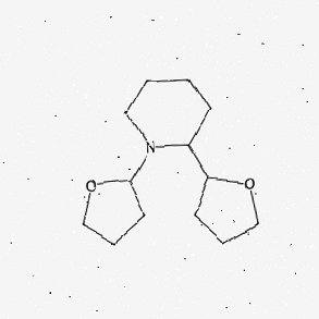 C1COC(C2CCCCN2C2CCCO2)C1